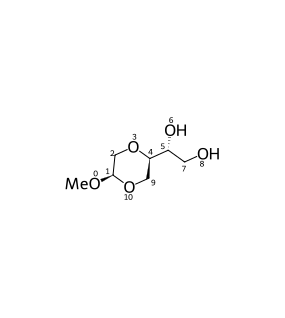 CO[C@H]1CO[C@@H]([C@H](O)CO)CO1